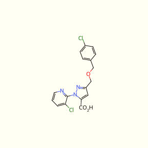 O=C(O)c1cc(COCc2ccc(Cl)cc2)nn1-c1ncccc1Cl